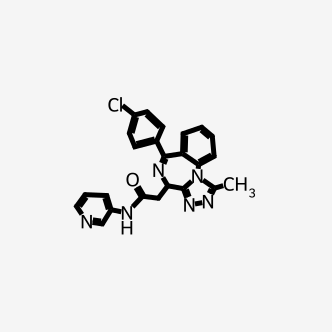 Cc1nnc2n1-c1ccccc1C(c1ccc(Cl)cc1)=NC2CC(=O)Nc1cccnc1